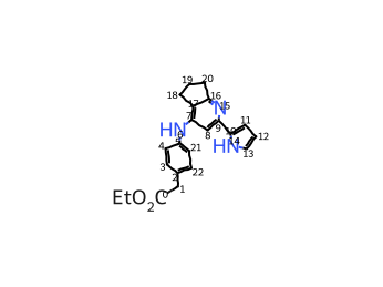 CCOC(=O)Cc1ccc(Nc2cc(-c3ccc[nH]3)nc3c2CCC3)cc1